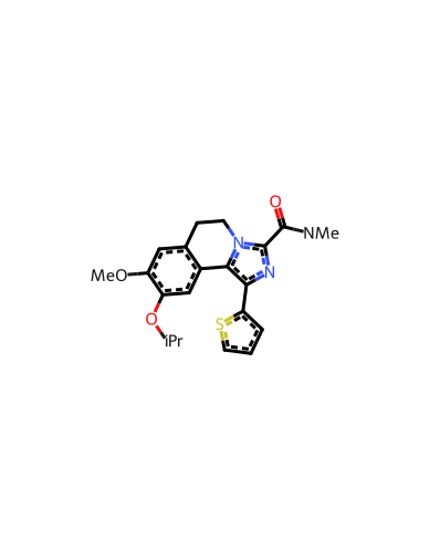 CNC(=O)c1nc(-c2cccs2)c2n1CCc1cc(OC)c(OC(C)C)cc1-2